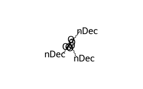 CCCCCCCCCCCCCCCCCC(=O)OC[C@@H](COC(=O)CCCCCCCCCCCCCC)OC(=O)CCCCCCCCCCCCCCCCC